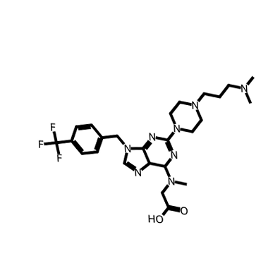 CN(C)CCCN1CCN(C2=NC(N(C)CC(=O)O)C3N=CN(Cc4ccc(C(F)(F)F)cc4)C3=N2)CC1